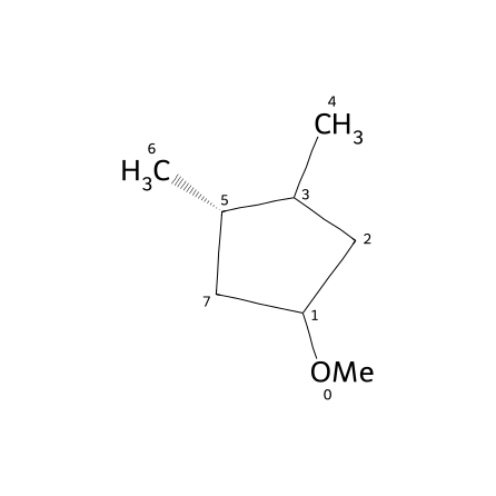 COC1CC(C)[C@@H](C)C1